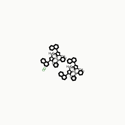 CC1=[C]([Hf]([C]2=C(C)C(c3cccc4ccccc34)=CC2C)=[Si](c2ccccc2)c2ccccc2)C(C)C=C1c1cccc2ccccc12.CC1=[C]([Hf]([C]2=C(C)C(c3cccc4ccccc34)=CC2C)=[Si](c2ccccc2)c2ccccc2)C(C)C=C1c1cccc2ccccc12.[Cl-].[Cl-]